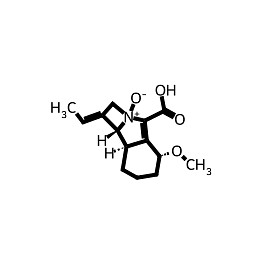 C/C=C1\C[N+]2([O-])C(C(=O)O)=C3[C@@H](CCC[C@H]3OC)[C@H]12